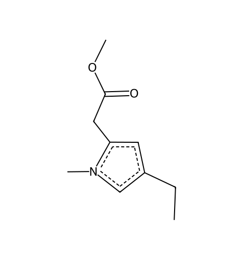 CCc1cc(CC(=O)OC)n(C)c1